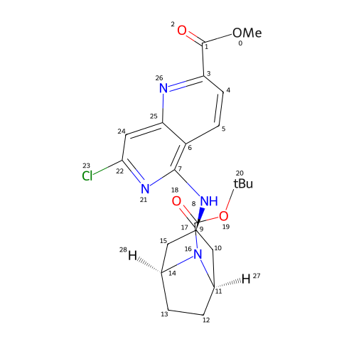 COC(=O)c1ccc2c(N[C@H]3C[C@H]4CC[C@@H](C3)N4C(=O)OC(C)(C)C)nc(Cl)cc2n1